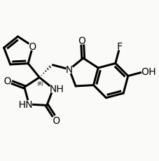 O=C1NC(=O)[C@@](CN2Cc3ccc(O)c(F)c3C2=O)(c2ccco2)N1